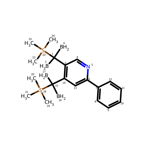 BC(B)(c1cnc(-c2ccccc2)cc1C(B)(B)S(C)(C)C)S(C)(C)C